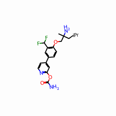 CC(C)CC(C)(N)COc1ccc(-c2ccnc(OC(N)=O)c2)cc1C(F)F